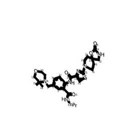 CCCNC(=O)c1cc(CN2CCOCC2(C)C)ccc1NC(=O)c1csc(N2CCC3(CC2)CNC(=O)O3)n1